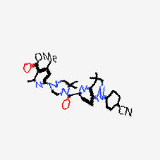 COC(=O)c1c(C)cc(N2CCN(C(=O)c3ccc4c(n3)C(C)(C)CN4C3CCC(C#N)CC3)C(C)(C)C2)nc1C